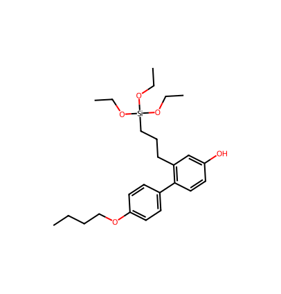 CCCCOc1ccc(-c2ccc(O)cc2CCC[Si](OCC)(OCC)OCC)cc1